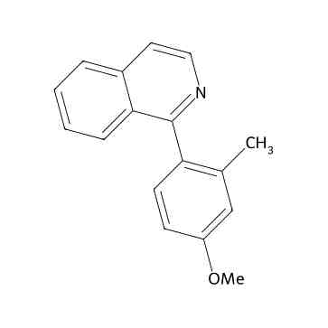 COc1ccc(-c2nccc3ccccc23)c(C)c1